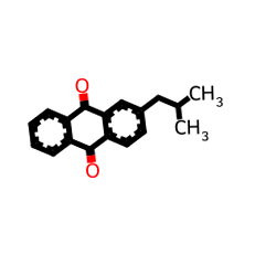 CC(C)Cc1ccc2c(c1)C(=O)c1ccccc1C2=O